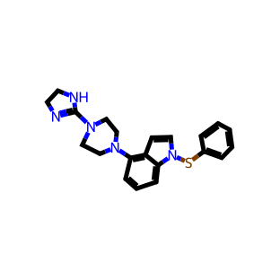 c1ccc(Sn2ccc3c(N4CCN(C5=NCCN5)CC4)cccc32)cc1